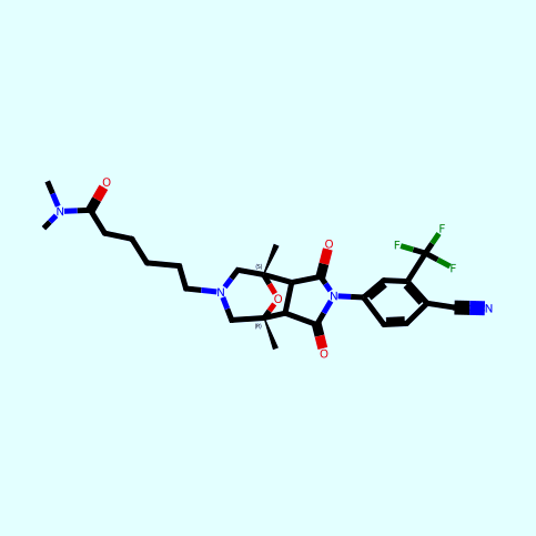 CN(C)C(=O)CCCCCN1C[C@@]2(C)O[C@@](C)(C1)C1C(=O)N(c3ccc(C#N)c(C(F)(F)F)c3)C(=O)C12